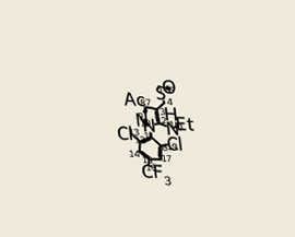 CCNc1c(C[S+]=O)c(C(C)=O)nn1-c1c(Cl)cc(C(F)(F)F)cc1Cl